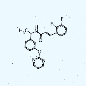 CC(NC(=O)C=Cc1cccc(F)c1F)c1cccc(Oc2ncccn2)c1